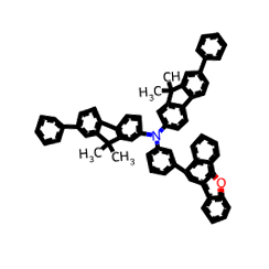 CC1(C)c2cc(-c3ccccc3)ccc2-c2ccc(N(c3cccc(-c4cc5c6ccccc6oc5c5ccccc45)c3)c3ccc4c(c3)C(C)(C)c3cc(-c5ccccc5)ccc3-4)cc21